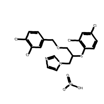 Clc1ccc(SC(COCc2ccc(Cl)c(Cl)c2)Cn2ccnc2)c(Cl)c1.O=[N+]([O-])O